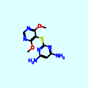 COc1ncnc(OC)c1Sc1nc(N)cc(N)n1